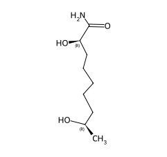 C[C@@H](O)CCCCC[C@@H](O)C(N)=O